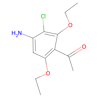 CCOc1cc(N)c(Cl)c(OCC)c1C(C)=O